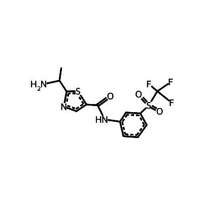 CC(N)c1ncc(C(=O)Nc2cccc(S(=O)(=O)C(F)(F)F)c2)s1